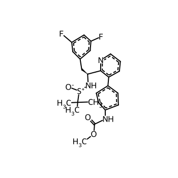 COC(=O)Nc1ccc(-c2cccnc2[C@H](Cc2cc(F)cc(F)c2)N[S+]([O-])C(C)(C)C)cc1